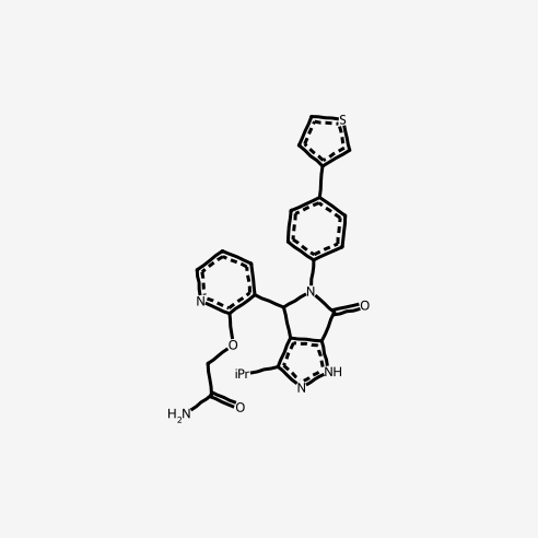 CC(C)c1n[nH]c2c1C(c1cccnc1OCC(N)=O)N(c1ccc(-c3ccsc3)cc1)C2=O